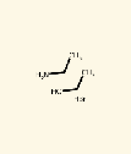 Br.CCN.CCO